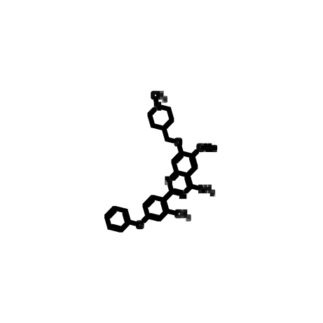 COc1cc2c(N)nc(-c3ccc(Oc4ccccc4)cc3C)nc2cc1OCC1CCN(C)CC1